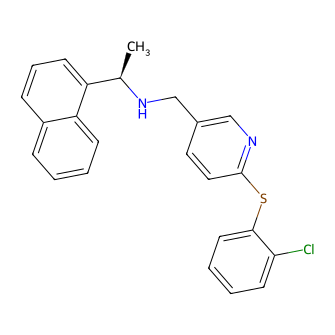 C[C@@H](NCc1ccc(Sc2ccccc2Cl)nc1)c1cccc2ccccc12